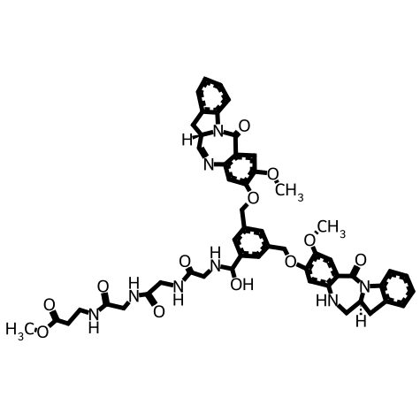 COC(=O)CCNC(=O)CNC(=O)CNC(=O)CNC(O)c1cc(COc2cc3c(cc2OC)C(=O)N2c4ccccc4C[C@H]2C=N3)cc(COc2cc3c(cc2OC)C(=O)N2c4ccccc4C[C@H]2CN3)c1